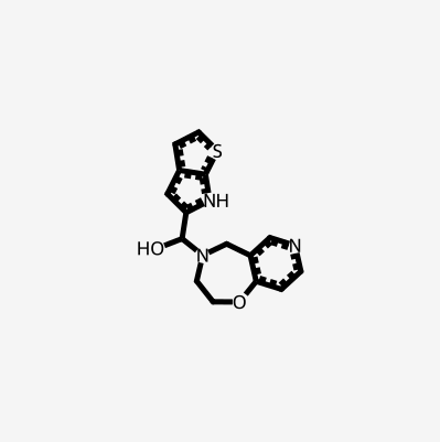 OC(c1cc2ccsc2[nH]1)N1CCOc2ccncc2C1